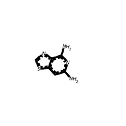 Nc1cc2scnc2c(N)n1